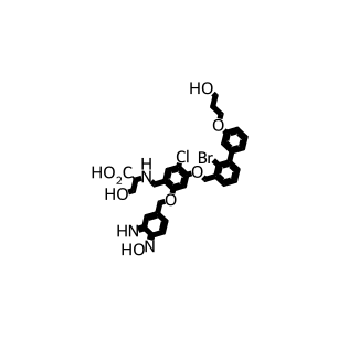 N=C1C=C(COc2cc(OCc3cccc(-c4cccc(OCCCO)c4)c3Br)c(Cl)cc2CN[C@H](CO)C(=O)O)C=C/C1=N/O